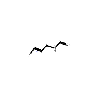 O=[C]NC/C=C/F